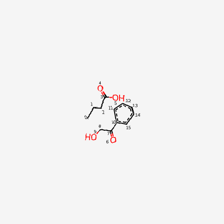 CCCC(=O)O.O=C(CO)c1ccccc1